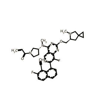 C#Cc1c(F)ccc2cccc(-c3ncc4c(N(C)[C@@H]5CCN(C(=O)C=C)C5)nc(OC[C@@H]5CC6(CC6)CN5C)nc4c3F)c12